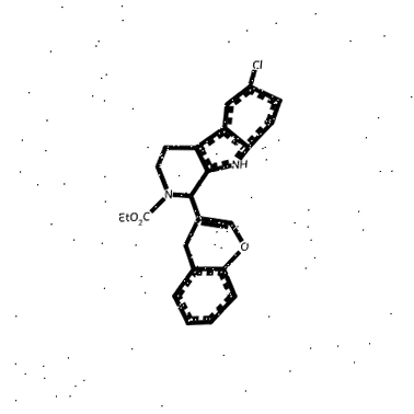 CCOC(=O)N1CCc2c([nH]c3ccc(Cl)cc23)C1C1=COc2ccccc2C1